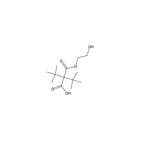 CC(C)(C)C(C(=O)O)(C(=O)OCCO)C(C)(C)C